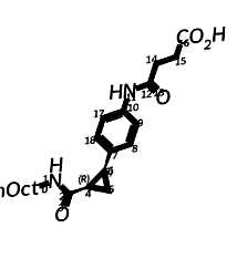 CCCCCCCCNC(=O)[C@@H]1C[C@@H]1c1ccc(NC(=O)CCC(=O)O)cc1